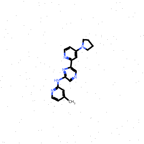 Cc1ccnc(Nc2cncc(-c3cc(N4CCCC4)ccn3)n2)c1